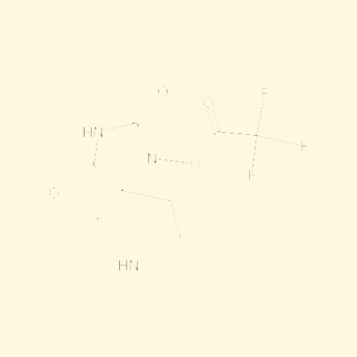 O=C1NC(=O)C2(CCNCC2)N1OC(=O)C(F)(F)F